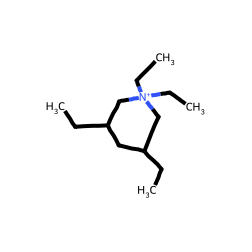 CCC1CC(CC)C[N+](CC)(CC)C1